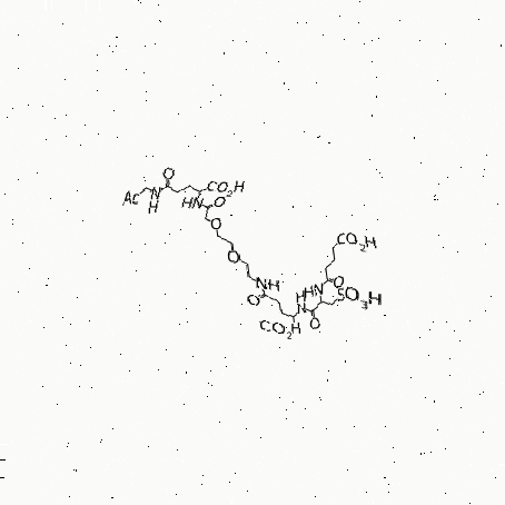 CC(=O)CNC(=O)CCC(NC(=O)COCCOCCNC(=O)CCC(NC(=O)C(CS(=O)(=O)O)NC(=O)CCCC(=O)O)C(=O)O)C(=O)O